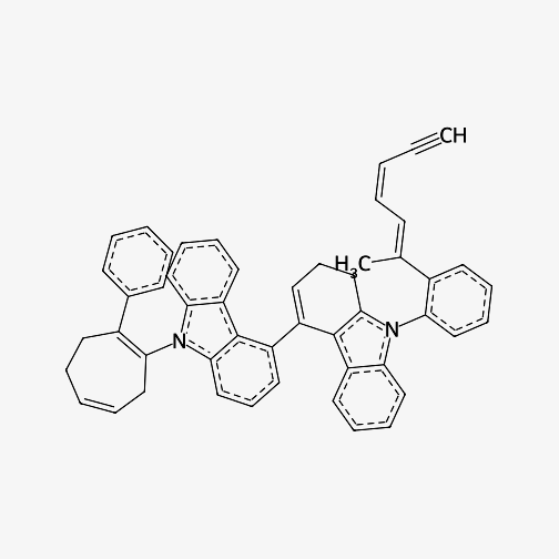 C#C/C=C\C=C(/C)c1ccccc1-n1c2c(c3ccccc31)C(c1cccc3c1c1ccccc1n3C1=C(c3ccccc3)CCC=CC1)=CCC2